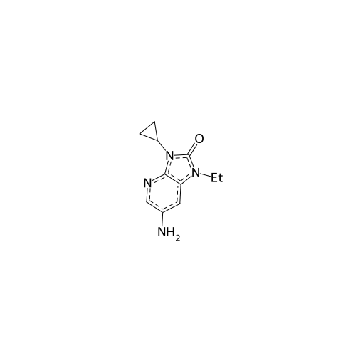 CCn1c(=O)n(C2CC2)c2ncc(N)cc21